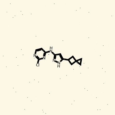 Clc1nccc(Nc2cc(C3CC4(CC4)C3)[nH]n2)n1